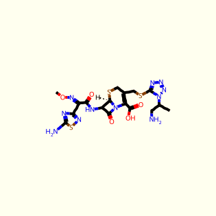 CO/N=C(/C(=O)NC1C(=O)N2C(C(=O)O)=C(CSc3nnnn3C(C)CN)CS[C@H]12)c1nsc(N)n1